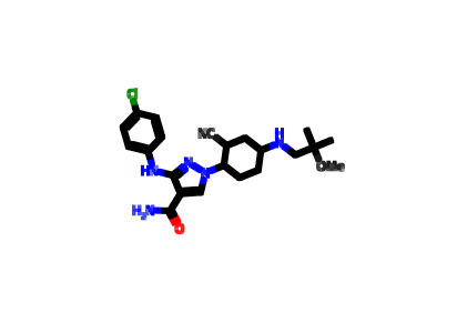 COC(C)(C)CNC1CCC(n2cc(C(N)=O)c(Nc3ccc(Cl)cc3)n2)C(C#N)C1